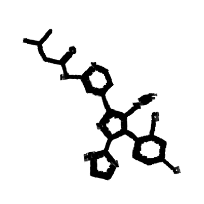 [C-]#[N+]c1c(-c2ccnc(NC(=O)CC(C)C)c2)sc(-c2ncc[nH]2)c1-c1ccc(Cl)cc1Cl